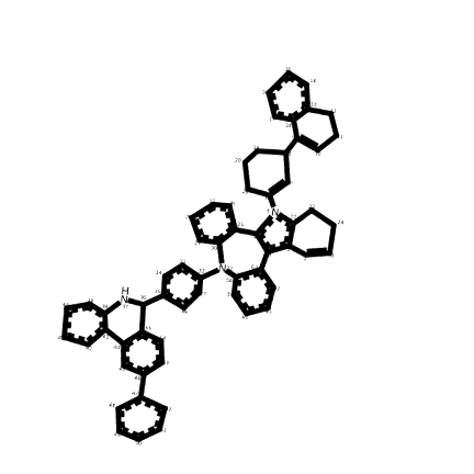 C1=Cc2c3c(n(C4=CC(C5=CCCc6ccccc65)CCC4)c2CC1)-c1ccccc1N(c1ccc(C2Nc4ccccc4-c4cc(-c5ccccc5)ccc42)cc1)c1ccccc1-3